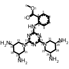 COC(=O)c1ccccc1Nc1nc(N2C[C@H](N)C[C@H](N)C2)nc(N2C[C@H](N)C[C@H](N)C2)n1